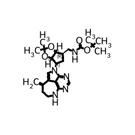 C=C1CCNc2ncnc3c2c1cn3[C@@H]1C[C@H](CNC(=O)OC(C)(C)C)[C@H]2OC(C)(C)O[C@H]21